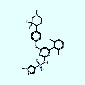 Cc1cccc(C)c1-c1cc(Oc2ccc(C3CCN(C)CC3(F)F)cc2)nc(NS(=O)(=O)c2cnn(C)c2)n1